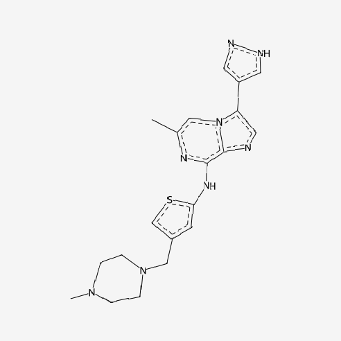 Cc1cn2c(-c3cn[nH]c3)cnc2c(Nc2cc(CN3CCN(C)CC3)cs2)n1